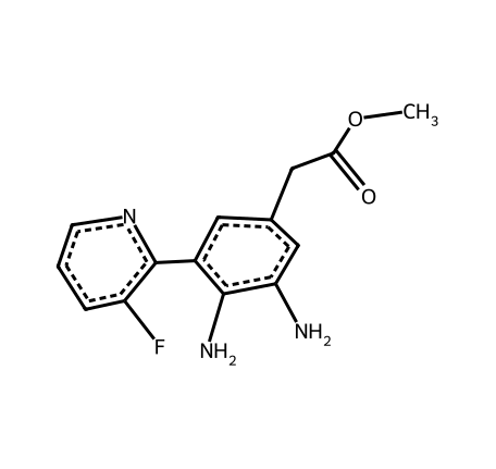 COC(=O)Cc1cc(N)c(N)c(-c2ncccc2F)c1